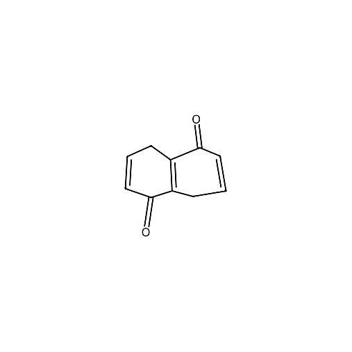 O=C1C=CCC2=C1CC=CC2=O